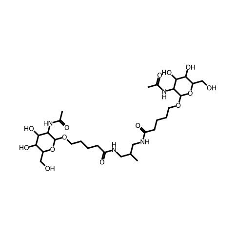 CC(=O)NC1C(OCCCCC(=O)NCC(C)CNC(=O)CCCCOC2OC(CO)C(O)C(O)C2NC(C)=O)OC(CO)C(O)C1O